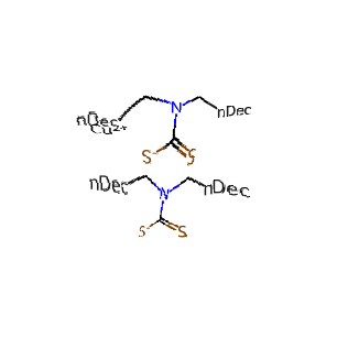 CCCCCCCCCCCN(CCCCCCCCCCC)C(=S)[S-].CCCCCCCCCCCN(CCCCCCCCCCC)C(=S)[S-].[Cu+2]